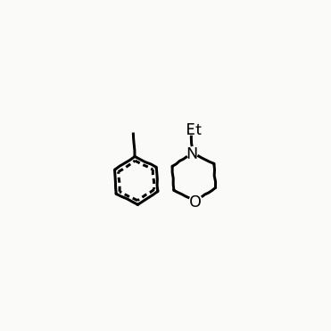 CCN1CCOCC1.Cc1ccccc1